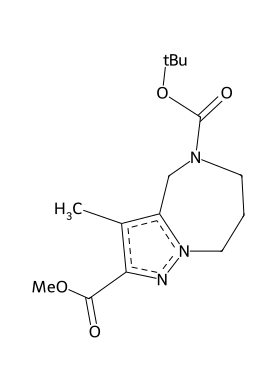 COC(=O)c1nn2c(c1C)CN(C(=O)OC(C)(C)C)CCC2